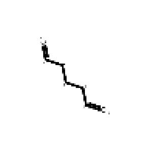 O=C[CH]C[CH]C=O